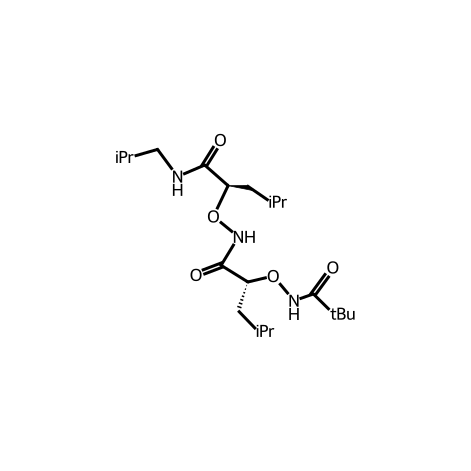 CC(C)CNC(=O)[C@@H](CC(C)C)ONC(=O)[C@@H](CC(C)C)ONC(=O)C(C)(C)C